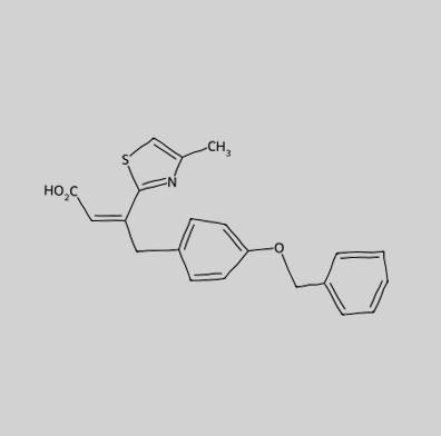 Cc1csc(/C(=C\C(=O)O)Cc2ccc(OCc3ccccc3)cc2)n1